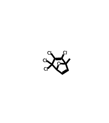 CC12C=CC(O1)C(Cl)(Cl)C(Cl)=C2Cl